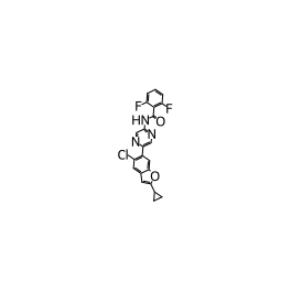 O=C(Nc1cnc(-c2cc3oc(C4CC4)cc3cc2Cl)cn1)c1c(F)cccc1F